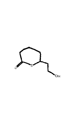 O=C1CCCC(CCO)S1